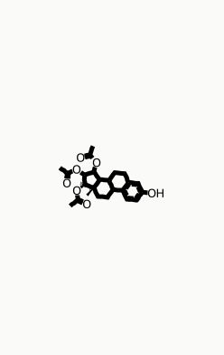 CC(=O)OC1C(OC(C)=O)[C@H](OC(C)=O)[C@@]2(C)CCC3c4ccc(O)cc4CCC3C12